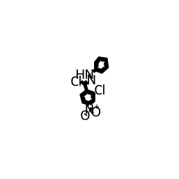 O=[N+]([O-])c1ccc(C(Cl)=NNc2ccccc2)c(Cl)c1